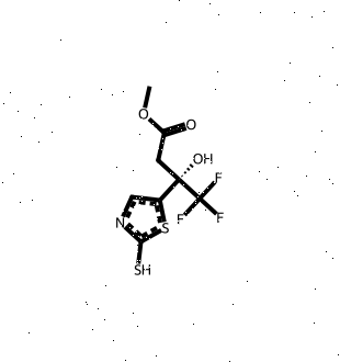 COC(=O)C[C@](O)(c1cnc(S)s1)C(F)(F)F